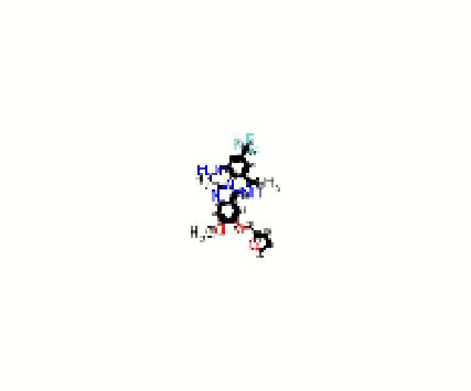 COc1cc2nc(C)nc(NC(C)c3cc(N)cc(C(F)(F)F)c3)c2cc1OC[C@H]1CCCO1